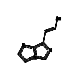 CC(=O)/C=C/c1ncn2ccsc12